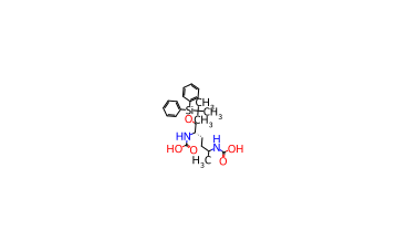 CC(CC[C@@H](CO[Si](c1ccccc1)(c1ccccc1)C(C)(C)C)NC(=O)O)NC(=O)O